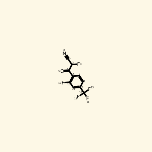 N#CC(F)C(=O)c1ccc(C(F)(F)F)cc1F